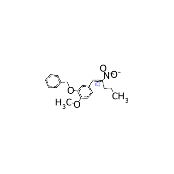 CCC/C(=C\c1ccc(OC)c(OCc2ccccc2)c1)[N+](=O)[O-]